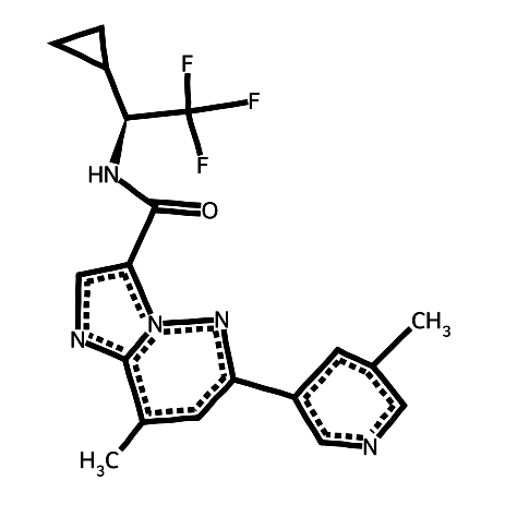 Cc1cncc(-c2cc(C)c3ncc(C(=O)N[C@@H](C4CC4)C(F)(F)F)n3n2)c1